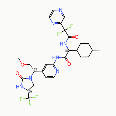 COC[C@H](c1ccnc(NC(=O)[C@@H](NC(=O)C(F)(F)c2cnccn2)C2CCC(C)CC2)c1)N1C[C@@H](C(F)(F)F)NC1=O